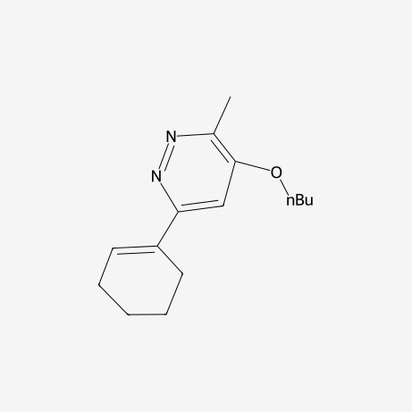 CCCCOc1cc(C2=CCCCC2)nnc1C